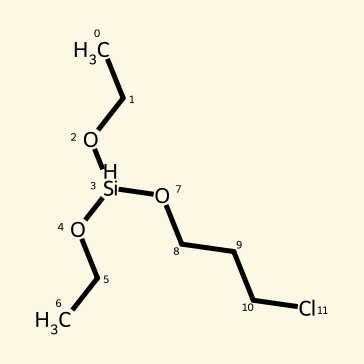 CCO[SiH](OCC)OCCCCl